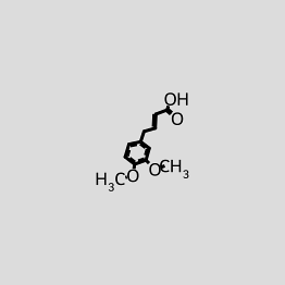 COc1ccc(CC=CC(=O)O)cc1OC